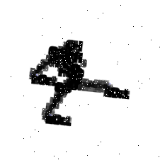 CCCCCCCC/C=C\CCCCCCCC(=O)OCC(O)CO.CCCCCCCC/C=C\CCCCCCCC(=O)OC[C@H](COP(=O)(O)OCC[N+](C)(C)C)OC(=O)CCCCCCC/C=C\CCCCCCCC